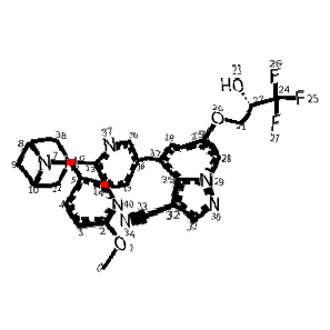 COc1ccc(CN2C3CC2CN(c2ccc(-c4cc(OC[C@H](O)C(F)(F)F)cn5ncc(C#N)c45)cn2)C3)cn1